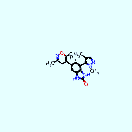 CC1=NOC(C)=C(c2cc(-c3c(C)cnn3C)c3[nH]c(=O)[nH]c3c2)C1